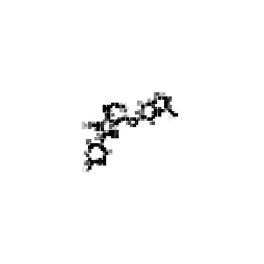 CCc1cnc2n1C[C@H](Oc1ncnc3c1nc(-c1cnc(C)nc1)n3CC)C2